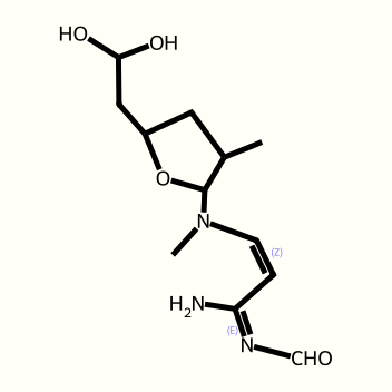 CC1CC(CC(O)O)OC1N(C)/C=C\C(N)=N/C=O